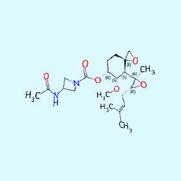 CO[C@@H]1[C@H](OC(=O)N2CC(NC(C)=O)C2)CC[C@]2(CO2)[C@H]1[C@@]1(C)O[C@@H]1CC=C(C)C